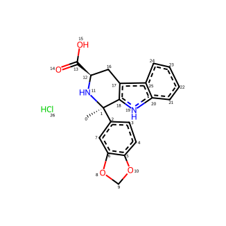 C[C@]1(c2ccc3c(c2)OCO3)N[C@@H](C(=O)O)Cc2c1[nH]c1ccccc21.Cl